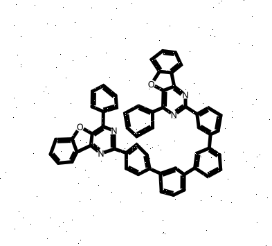 c1ccc(-c2nc(-c3ccc(-c4cccc(-c5cccc(-c6cccc(-c7nc(-c8ccccc8)c8oc9ccccc9c8n7)c6)c5)c4)cc3)nc3c2oc2ccccc23)cc1